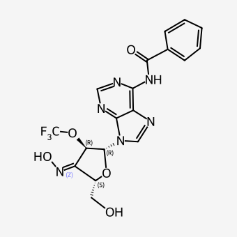 O=C(Nc1ncnc2c1ncn2[C@@H]1O[C@H](CO)/C(=N/O)[C@H]1OC(F)(F)F)c1ccccc1